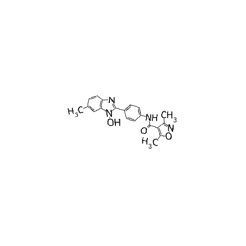 Cc1ccc2nc(-c3ccc(NC(=O)c4c(C)noc4C)cc3)n(O)c2c1